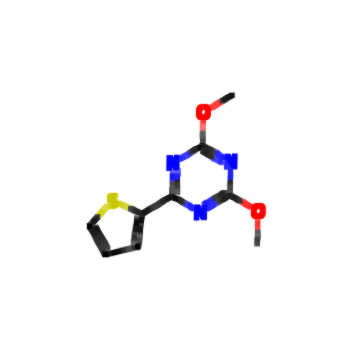 COc1nc(OC)nc(-c2cccs2)n1